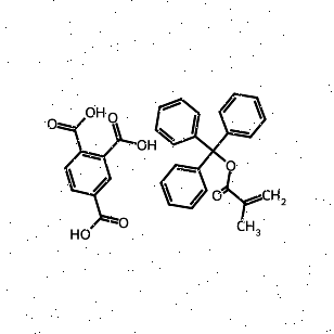 C=C(C)C(=O)OC(c1ccccc1)(c1ccccc1)c1ccccc1.O=C(O)c1ccc(C(=O)O)c(C(=O)O)c1